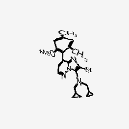 CCc1nc2c(-c3c(C)cc(C)cc3OC)ccnn2c1N(CC1CC1)CC1CC1